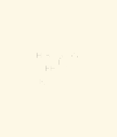 B.B.B.Cl.[Ce]